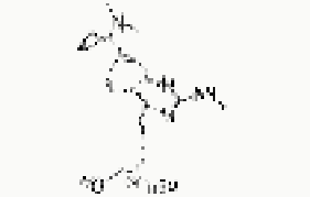 CCCC[C@H](CO)CCc1nc(N)nc2cc(C(=O)N(C)C)ccc12